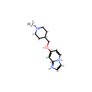 CN1CCC(COc2ccn3ccnc3c2)CC1